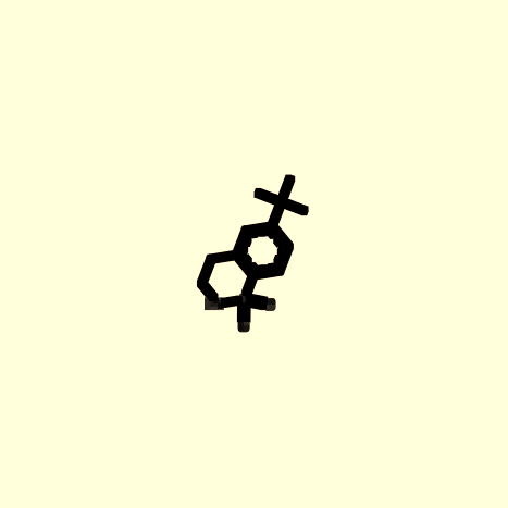 CC(C)(C)c1ccc2c(c1)CCNS2(=O)=O